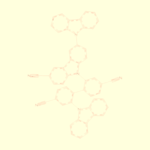 N#Cc1ccc(-c2ccc(C#N)cc2-n2c3ccc(C#N)cc3c3cc(-n4c5ccccc5c5ccccc54)ccc32)c(-n2c3ccccc3c3ccccc32)c1